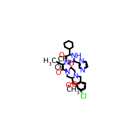 COC(=O)C1CN(C(=O)C(NC(=O)C(NC(=O)c2cnccn2)C2CCCCC2)C(C)(C)C)CCN1Cc1ccc(Cl)cc1